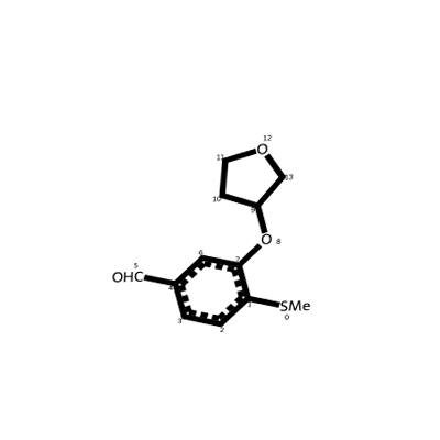 CSc1ccc(C=O)cc1OC1CCOC1